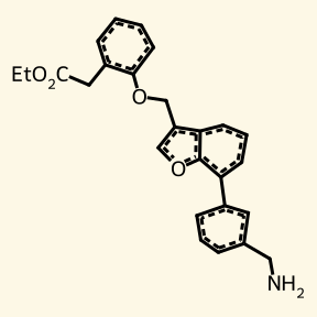 CCOC(=O)Cc1ccccc1OCc1coc2c(-c3cccc(CN)c3)cccc12